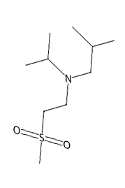 CC(C)CN(CCS(C)(=O)=O)C(C)C